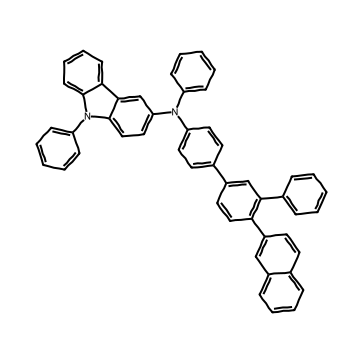 c1ccc(-c2cc(-c3ccc(N(c4ccccc4)c4ccc5c(c4)c4ccccc4n5-c4ccccc4)cc3)ccc2-c2ccc3ccccc3c2)cc1